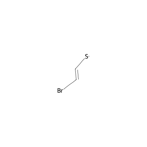 [S]C=CBr